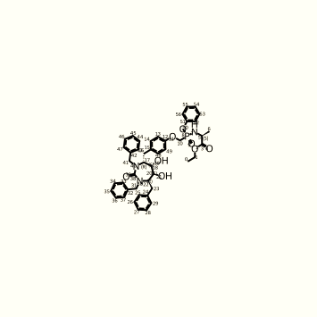 CCOC(=O)[C@H](C)NP(=O)(COc1ccc(C[C@@H]2[C@H](O)[C@@H](O)[C@@H](Cc3ccccc3)N(Cc3ccccc3)C(=O)N2Cc2ccccc2)cc1)Oc1ccccc1